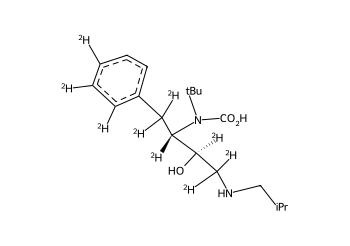 [2H]c1ccc(C([2H])([2H])[C@]([2H])(N(C(=O)O)C(C)(C)C)[C@]([2H])(O)C([2H])([2H])NCC(C)C)c([2H])c1[2H]